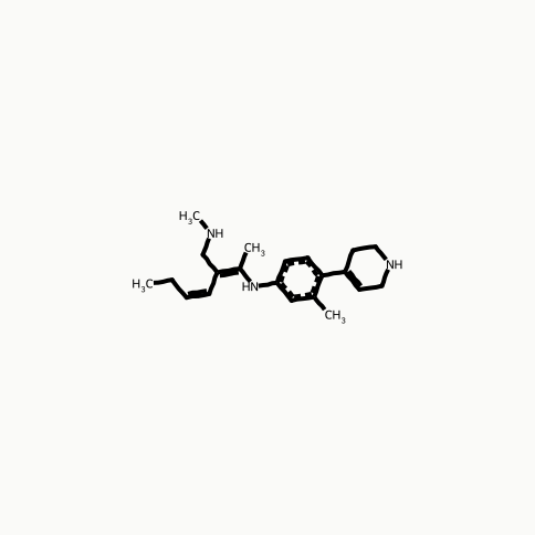 CC/C=C\C(CNC)=C(\C)Nc1ccc(C2=CCNCC2)c(C)c1